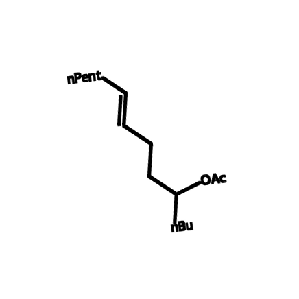 CCCCCC=CCCC(CCCC)OC(C)=O